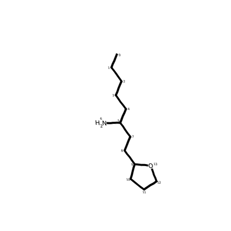 CCCCCC(N)CCC1CCCO1